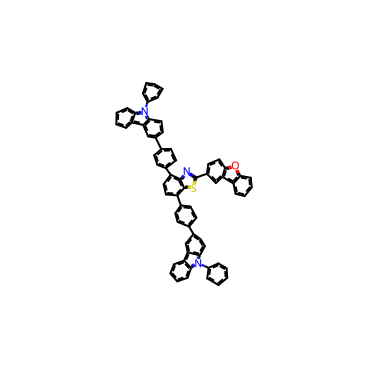 c1ccc(-n2c3ccccc3c3cc(-c4ccc(-c5ccc(-c6ccc(-c7ccc8c(c7)c7ccccc7n8-c7ccccc7)cc6)c6sc(-c7ccc8oc9ccccc9c8c7)nc56)cc4)ccc32)cc1